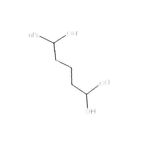 CCCC(O)CCCC(O)O